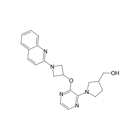 OCC1CCN(c2nccnc2OC2CN(c3ccc4ccccc4n3)C2)C1